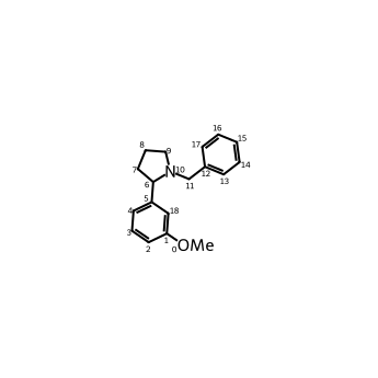 COc1cccc(C2CCCN2Cc2ccccc2)c1